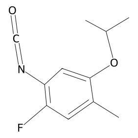 Cc1cc(F)c(N=C=O)cc1OC(C)C